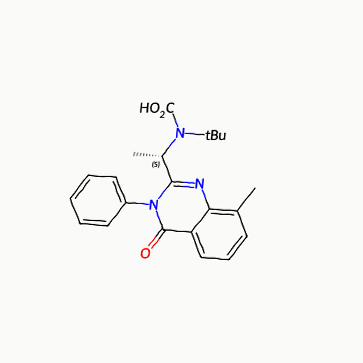 Cc1cccc2c(=O)n(-c3ccccc3)c([C@H](C)N(C(=O)O)C(C)(C)C)nc12